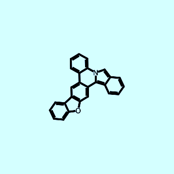 c1ccc2c(c1)cn1c3ccccc3c3cc4c(cc3c21)oc1ccccc14